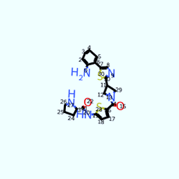 Nc1ccccc1-c1cnc(C2CN(C(=O)c3ccc(NC(=O)[C@@H]4CCCN4)s3)C2)s1